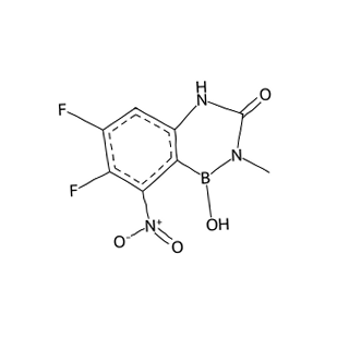 CN1B(O)c2c(cc(F)c(F)c2[N+](=O)[O-])NC1=O